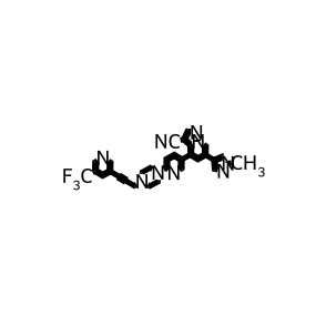 Cn1cc(-c2cc(-c3ccc(N4CCN(CC#Cc5cncc(C(F)(F)F)c5)CC4)nc3)c3c(C#N)cnn3c2)cn1